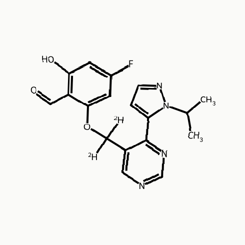 [2H]C([2H])(Oc1cc(F)cc(O)c1C=O)c1cncnc1-c1ccnn1C(C)C